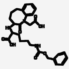 O=C(O)CN1C(=O)C(NC(CCCCNC(=O)OCc2ccccc2)C(=O)O)CCCc2ccccc21